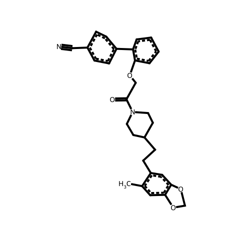 Cc1cc2c(cc1CCC1CCN(C(=O)COc3ccccc3-c3ccc(C#N)cc3)CC1)OCO2